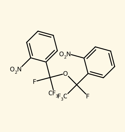 O=[N+]([O-])c1ccccc1C(F)(OC(F)(c1ccccc1[N+](=O)[O-])C(F)(F)F)C(F)(F)F